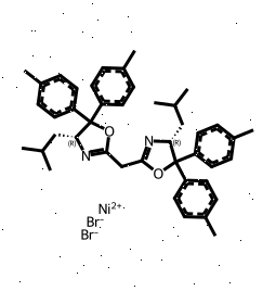 Cc1ccc(C2(c3ccc(C)cc3)OC(CC3=N[C@H](CC(C)C)C(c4ccc(C)cc4)(c4ccc(C)cc4)O3)=N[C@@H]2CC(C)C)cc1.[Br-].[Br-].[Ni+2]